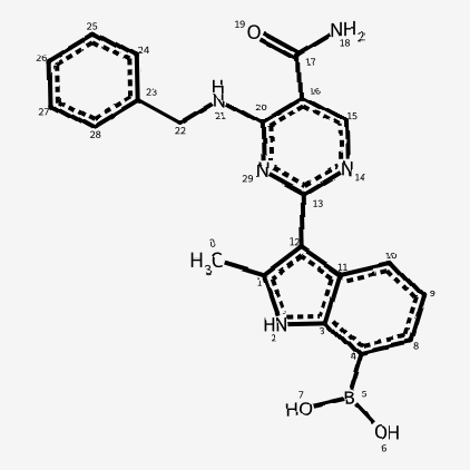 Cc1[nH]c2c(B(O)O)cccc2c1-c1ncc(C(N)=O)c(NCc2ccccc2)n1